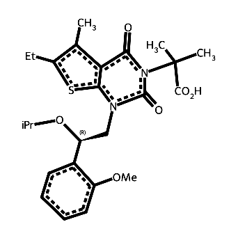 CCc1sc2c(c1C)c(=O)n(C(C)(C)C(=O)O)c(=O)n2C[C@H](OC(C)C)c1ccccc1OC